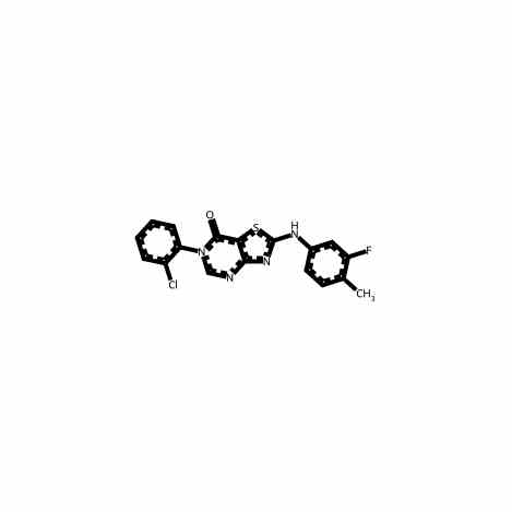 Cc1ccc(Nc2nc3ncn(-c4ccccc4Cl)c(=O)c3s2)cc1F